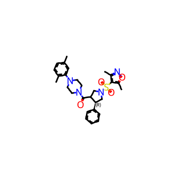 Cc1ccc(C)c(N2CCN(C(=O)C3CN(S(=O)(=O)c4c(C)noc4C)C[C@H]3c3ccccc3)CC2)c1